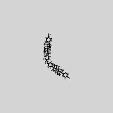 FC(F)(c1ccc(I)cc1)C(F)(F)C(F)(F)C(F)(F)C(F)(F)c1ccc(Oc2ccc(C(F)(F)C(F)(F)C(F)(F)C(F)(F)C(F)(F)c3ccc(I)cc3)cc2)cc1